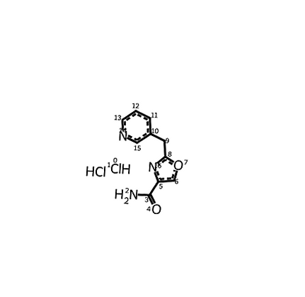 Cl.Cl.NC(=O)c1coc(Cc2cccnc2)n1